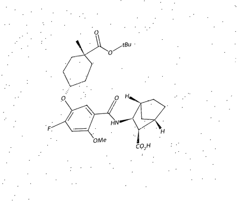 COc1cc(F)c(O[C@H]2CC[C@@](C)(C(=O)OC(C)(C)C)CC2)cc1C(=O)N[C@H]1[C@@H]2CC[C@@H](C2)[C@H]1C(=O)O